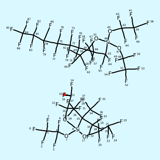 FC(F)(F)C(F)(F)O[Si](OC(F)(F)C(F)(F)F)(OC(F)(F)C(F)(F)F)C(C(F)(F)F)(C(F)(F)F)C(F)(F)F.FC(F)(F)C(F)(F)O[Si](OC(F)(F)C(F)(F)F)(OC(F)(F)C(F)(F)F)C(F)(F)C(F)(F)C(F)(F)C(F)(F)C(F)(F)C(F)(F)C(F)(F)C(F)(F)F